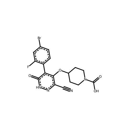 N#Cc1n[nH]c(=O)c(-c2ccc(Br)cc2F)c1OC1CCN(C(=O)O)CC1